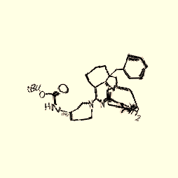 CC(C)(C)OC(=O)N[C@@H]1CCN(c2nc(N)nc3c2CCCCC3(Cc2ccccc2)Cc2ccccc2)C1